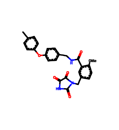 COc1ccc(CN2C(=O)NC(=O)C2=O)cc1C(=O)NCc1ccc(Oc2ccc(C)cc2)cc1